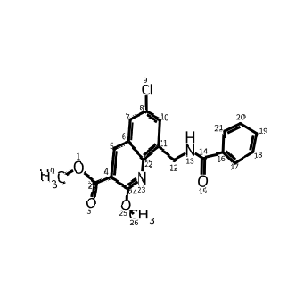 COC(=O)c1cc2cc(Cl)cc(CNC(=O)c3ccccc3)c2nc1OC